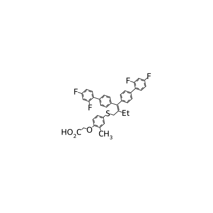 CCC(CSc1ccc(OCC(=O)O)c(C)c1)=C(c1ccc(-c2ccc(F)cc2F)cc1)c1ccc(-c2ccc(F)cc2F)cc1